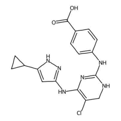 O=C(O)c1ccc(NC2=NC(Nc3cc(C4CC4)[nH]n3)=C(Cl)CN2)cc1